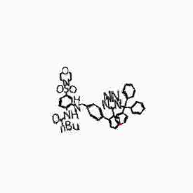 CCCCC(=O)Nc1ccc(S(=O)(=O)N2CCOCC2)cc1NCc1ccc(-c2ccccc2-c2nnnn2C(c2ccccc2)(c2ccccc2)c2ccccc2)cc1